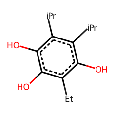 CCc1c(O)c(O)c(C(C)C)c(C(C)C)c1O